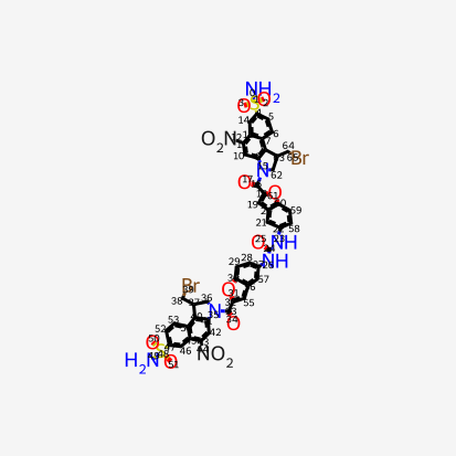 NS(=O)(=O)c1ccc2c3c(cc([N+](=O)[O-])c2c1)N(C(=O)c1cc2cc(NC(=O)Nc4ccc5oc(C(=O)N6CC(CBr)c7c6cc([N+](=O)[O-])c6cc(S(N)(=O)=O)ccc76)cc5c4)ccc2o1)CC3CBr